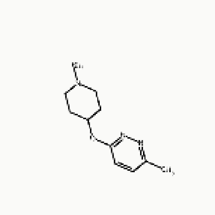 Cc1ccc(OC2CCN(C(C)(C)C)CC2)nn1